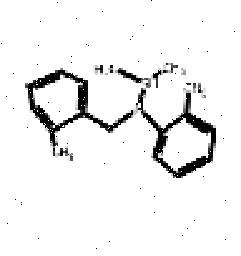 Cc1ccccc1CN(c1ccccc1C)[SH](C)C